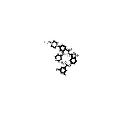 CC(Oc1ccc2[nH]nc(NC(=O)c3ccc(N4CCN(C)CC4)cc3NC3CCOCC3)c2c1)c1cc(F)cc(F)c1